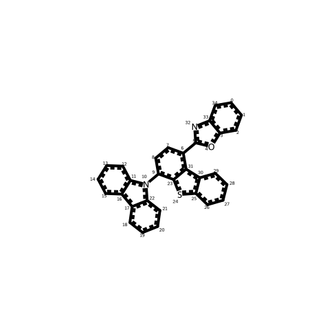 c1ccc2oc(-c3ccc(-n4c5ccccc5c5ccccc54)c4sc5ccccc5c34)nc2c1